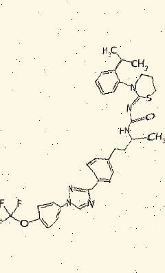 CC(CCc1ccc(-c2ncn(-c3ccc(OC(F)(F)F)cc3)n2)cc1)NC(=O)/N=C1\SCCCN1c1ccccc1C(C)C